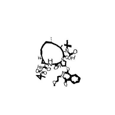 COCCn1nc(O[C@@H]2C[C@H]3C(=O)N[C@]4(C(=O)NS(=O)(=O)C5(C)CC5)C[C@H]4/C=C\CC[C@H](C)C[C@@H](C)[C@H](N(C(=O)O)C(C)(C)C)C(=O)N3C2)c2ccccc2c1=O